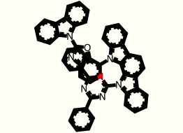 c1ccc(-c2nc(-c3ccccc3)nc(-n3c4ccccc4c4ccc5c6ccccc6n(-c6cccc7nc(-n8c9ccccc9c9ccccc98)oc67)c5c43)n2)cc1